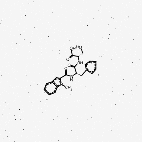 Cn1c(C(=O)N[C@@H](Cc2ccccc2)C(=O)N[C@@H](CO)C(=O)O)cc2ccccc21